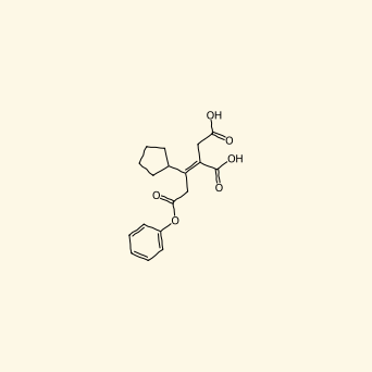 O=C(O)CC(C(=O)O)=C(CC(=O)Oc1ccccc1)C1CCCC1